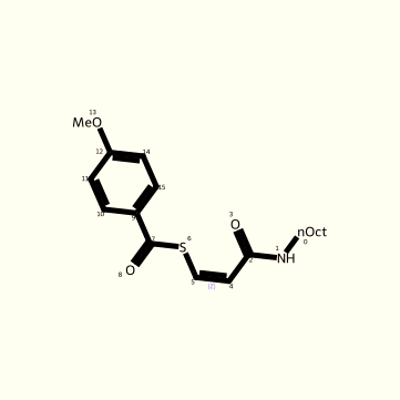 CCCCCCCCNC(=O)/C=C\SC(=O)c1ccc(OC)cc1